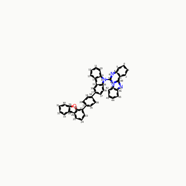 c1ccc2c(c1)nc(-n1c3ccccc3c3cc(-c4ccc(-c5cccc6c5oc5ccccc56)cc4)ccc31)n1c3ccccc3nc21